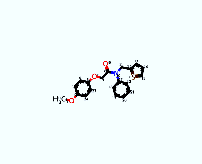 COc1ccc(OCC(=O)N(Cc2cccs2)c2ccccc2)cc1